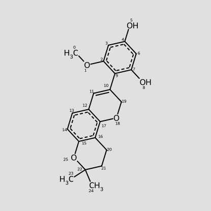 COc1cc(O)cc(O)c1C1=Cc2ccc3c(c2OC1)CCC(C)(C)O3